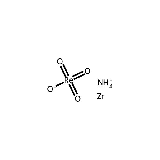 [NH4+].[O]=[Re](=[O])(=[O])[O-].[Zr]